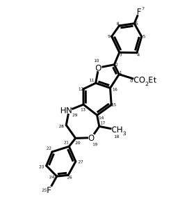 CCOC(=O)c1c(-c2ccc(F)cc2)oc2cc3c(cc12)C(C)OC(c1ccc(F)cc1)CN3